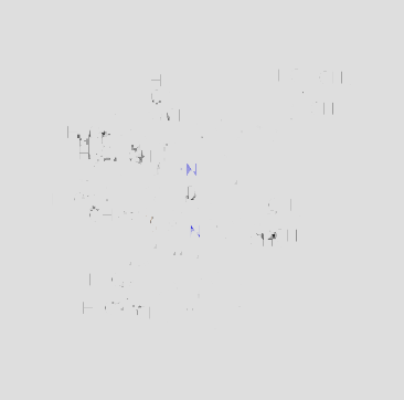 CC(C)(C)c1ccc(-c2ccc3c(c2)-c2cc(C(C)(C)C)cc4c2B(c2c(sc5cc6c(cc25)C(C)(C)CCC6(C)C)N4Cc2ccc(C(C)(C)C)cc2-c2ccccc2)N3c2ccc3c(c2)C(C)(C)CCC3(C)C)cc1